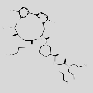 CNCCC[C@@H]1NC(=O)[C@@H](NC)Cc2cc(ccc2O)-c2ccc(O)c(c2)C[C@@H](C(=O)N2CCCC(C(=O)N[C@@H](CCCN)C(=O)N(CCN)CCO)C2)NC1=O